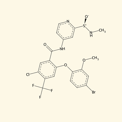 CN[S@+]([O-])c1cc(NC(=O)c2cc(Cl)c(C(F)(F)F)cc2Oc2ccc(Br)cc2OC)ccn1